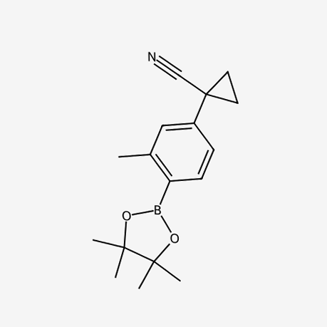 Cc1cc(C2(C#N)CC2)ccc1B1OC(C)(C)C(C)(C)O1